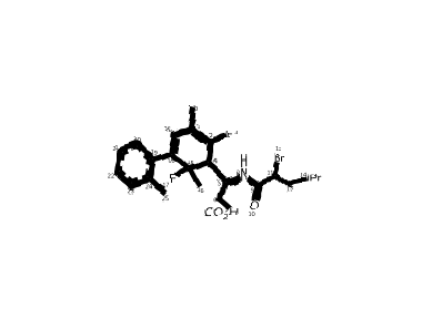 CC1=C(F)C(C(CC(=O)O)NC(=O)C(Br)CC(C)C)C(C)(F)C(c2ccccc2C)=C1